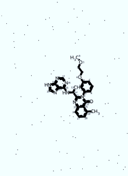 COCCOc1cccc(-n2c(C(C)Nc3ncnc4[nH]cnc34)nc3cccc(C)c3c2=O)c1